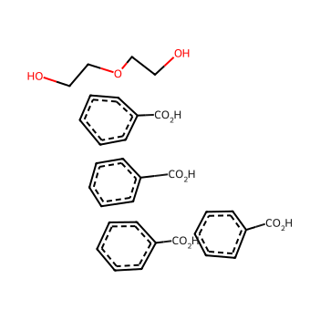 O=C(O)c1ccccc1.O=C(O)c1ccccc1.O=C(O)c1ccccc1.O=C(O)c1ccccc1.OCCOCCO